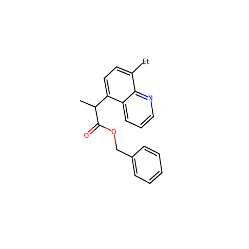 CCc1ccc(C(C)C(=O)OCc2ccccc2)c2cccnc12